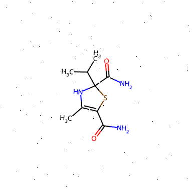 CC1=C(C(N)=O)SC(C(N)=O)(C(C)C)N1